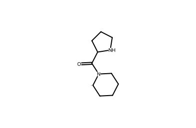 O=C(C1CCCN1)N1[CH]CCCC1